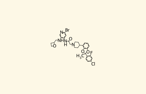 CC1(c2ccc(Cl)cc2F)Oc2cccc(C3CCN(CC(=O)Nc4cc(Br)ncc4NCC4CCO4)CC3)c2O1